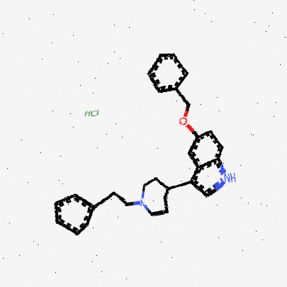 Cl.c1ccc(CCN2CCC(c3c[nH]c4ccc(OCc5ccccc5)cc34)CC2)cc1